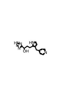 OC(CCc1[nH]ccc1Cc1ccncc1)c1nn[nH]n1